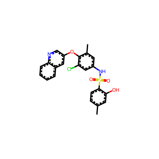 Cc1ccc(S(=O)(=O)Nc2cc(C)c(Oc3cnc4ccccc4c3)c(Cl)c2)c(O)c1